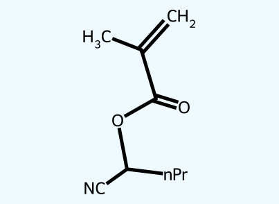 C=C(C)C(=O)OC(C#N)CCC